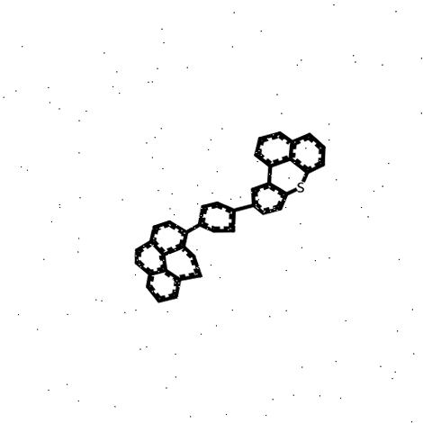 c1cc2c3c(cccc3c1)-c1cc(-c3ccc(-c4ccc5ccc6cccc7ccc4c5c67)cc3)ccc1S2